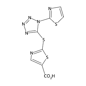 O=C(O)c1cnc(Sc2nnnn2-c2nccs2)s1